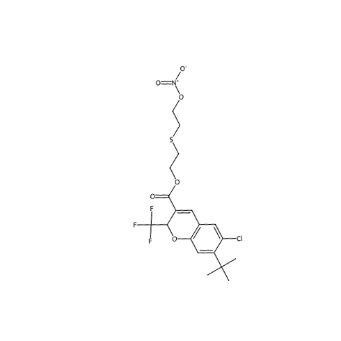 CC(C)(C)c1cc2c(cc1Cl)C=C(C(=O)OCCSCCO[N+](=O)[O-])C(C(F)(F)F)O2